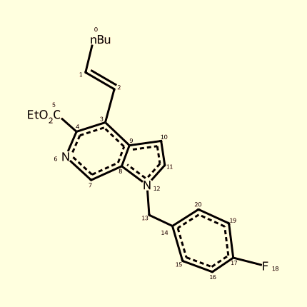 CCCCC=Cc1c(C(=O)OCC)ncc2c1ccn2Cc1ccc(F)cc1